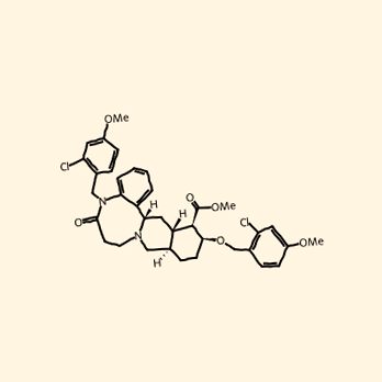 COC(=O)[C@@H]1[C@H]2C[C@H]3c4ccccc4N(Cc4ccc(OC)cc4Cl)C(=O)CCN3C[C@@H]2CC[C@@H]1OCc1ccc(OC)cc1Cl